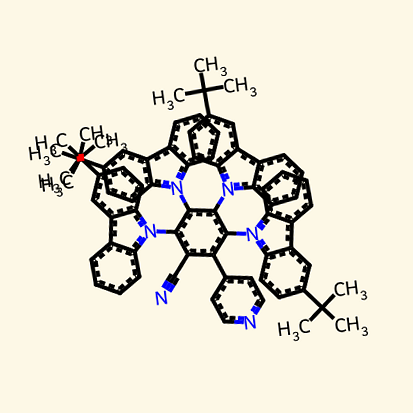 CC(C)(C)c1ccc2c(c1)c1ccccc1n2-c1c(C#N)c(-c2ccncc2)c(-n2c3ccccc3c3cc(C(C)(C)C)ccc32)c(-n2c3ccccc3c3cc(C(C)(C)C)ccc32)c1-n1c2ccccc2c2cc(C(C)(C)C)ccc21